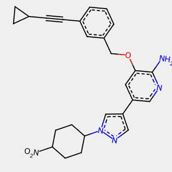 Nc1ncc(-c2cnn(C3CCC([N+](=O)[O-])CC3)c2)cc1OCc1cccc(C#CC2CC2)c1